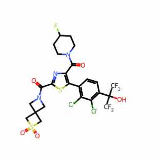 O=C(c1nc(C(=O)N2CCC(F)CC2)c(-c2ccc(C(O)(C(F)(F)F)C(F)(F)F)c(Cl)c2Cl)s1)N1CC2(C1)CS(=O)(=O)C2